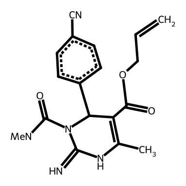 C=CCOC(=O)C1=C(C)NC(=N)N(C(=O)NC)C1c1ccc(C#N)cc1